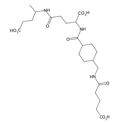 CC(CCC(=O)O)NC(=O)CCC(NC(=O)C1CCC(CNC(=O)CCCC(=O)O)CC1)C(=O)O